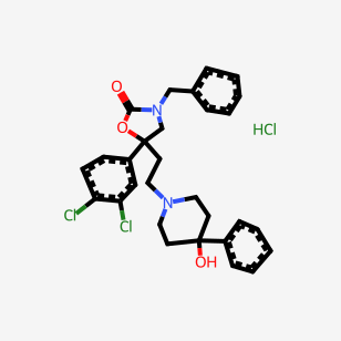 Cl.O=C1OC(CCN2CCC(O)(c3ccccc3)CC2)(c2ccc(Cl)c(Cl)c2)CN1Cc1ccccc1